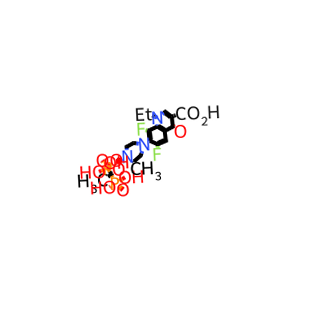 CCn1cc(C(=O)O)c(=O)c2cc(F)c(N3CCN(C(=O)OC(C)(P(=O)(O)O)P(=O)(O)O)C(C)C3)c(F)c21